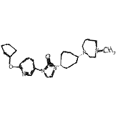 CN1CCCN([C@H]2CC[C@@H](n3ccn(-c4ccc(OC5CCCC5)nc4)c3=O)CC2)CC1